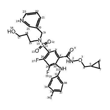 O=C(NOCC1CC1)c1cc(S(=O)(=O)N(CCCO)Cc2cccnc2)c(F)c(F)c1Nc1ccc(I)cc1